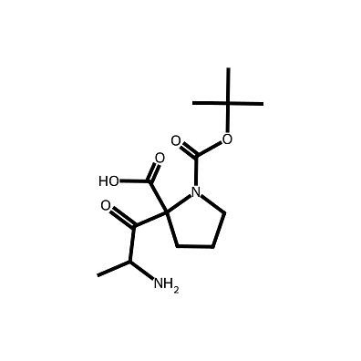 CC(N)C(=O)C1(C(=O)O)CCCN1C(=O)OC(C)(C)C